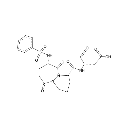 O=C[C@H](CC(=O)O)NC(=O)[C@@H]1CCCN2C(=O)CC[C@H](NS(=O)(=O)c3ccccc3)C(=O)N12